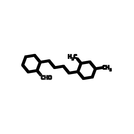 CC1CCC(CCCCC2CCCCC2C=O)C(C)C1